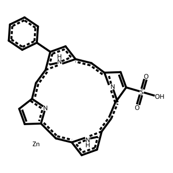 O=S(=O)(O)C1=Cc2cc3cc(-c4ccccc4)c(cc4nc(cc5ccc(cc1n2)[nH]5)C=C4)[nH]3.[Zn]